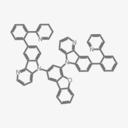 C1=NC(c2ccccc2-c2ccc3c(c2)c2ncccc2n3-c2cc(-n3c4ccc(-c5ccccc5-c5ccccn5)cc4c4ncccc43)c3oc4ccccc4c3c2)=CCC1